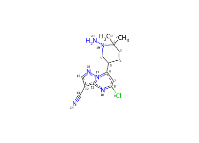 CC1(C)CCC(c2cc(Cl)nc3c(C#N)cnn23)CN1N